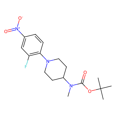 CN(C(=O)OC(C)(C)C)C1CCN(c2ccc([N+](=O)[O-])cc2F)CC1